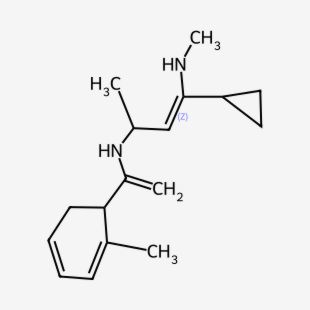 C=C(NC(C)/C=C(\NC)C1CC1)C1CC=CC=C1C